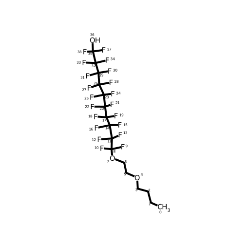 CCCCOCCOC(F)(F)C(F)(F)C(F)(F)C(F)(F)C(F)(F)C(F)(F)C(F)(F)C(F)(F)C(F)(F)C(O)(F)F